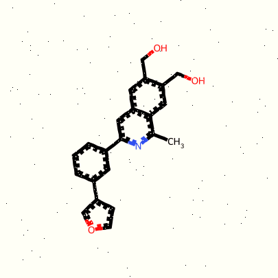 Cc1nc(-c2cccc(-c3ccoc3)c2)cc2cc(CO)c(CO)cc12